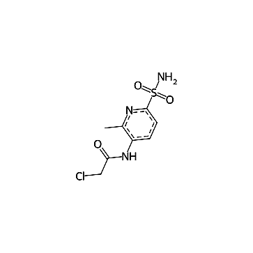 Cc1nc(S(N)(=O)=O)ccc1NC(=O)CCl